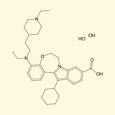 CCN1CCC(CCN(CC)c2cccc3c2OCCn2c-3c(C3CCCCC3)c3ccc(C(=O)O)cc32)CC1.Cl.Cl